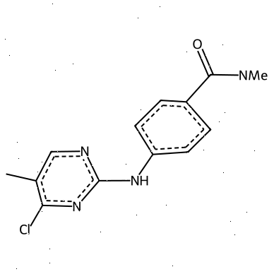 CNC(=O)c1ccc(Nc2ncc(C)c(Cl)n2)cc1